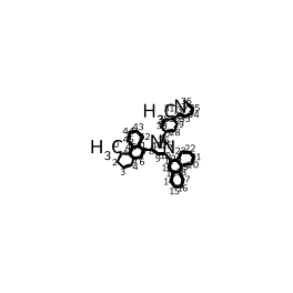 CC1CC=Cc2cc(-c3cc(-c4cc5ccccc5c5ccccc45)nc(C4=CCC(C)(c5ccccn5)C=C4)n3)c3ccccc3c21